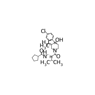 CC(C)[C@H](CNC(=O)C1CCCC1)C(=O)N1CC[C@](O)(c2ccc(Cl)cc2)C(C)(C)C1